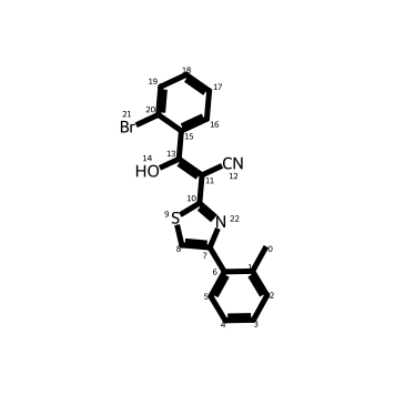 Cc1ccccc1-c1csc(C(C#N)=C(O)c2ccccc2Br)n1